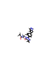 Cc1cc(-c2ccc3c(cnn3C)c2)ccc1C1=NC2(CC2)C(=O)N1CC1CN(C(=O)C2CC2)C1